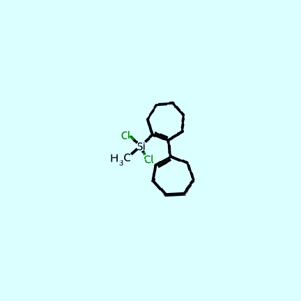 C[Si](Cl)(Cl)C1=C(C2=CCCCCC2)CCCCC1